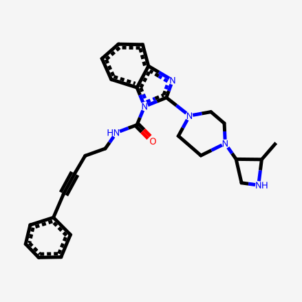 CC1NCC1N1CCN(c2nc3ccccc3n2C(=O)NCCC#Cc2ccccc2)CC1